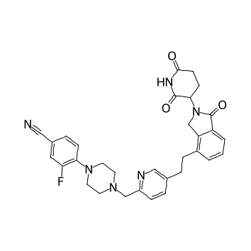 N#Cc1ccc(N2CCN(Cc3ccc(CCc4cccc5c4CN(C4CCC(=O)NC4=O)C5=O)cn3)CC2)c(F)c1